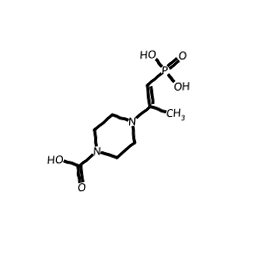 CC(=CP(=O)(O)O)N1CCN(C(=O)O)CC1